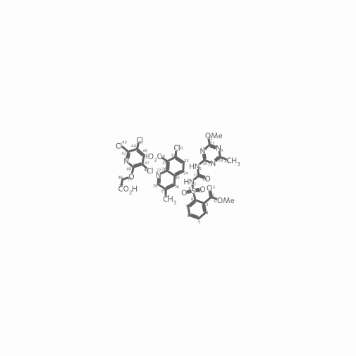 COC(=O)c1ccccc1S(=O)(=O)NC(=O)Nc1nc(C)nc(OC)n1.Cc1cnc2c(C(=O)O)c(Cl)ccc2c1.O=C(O)COc1nc(Cl)c(Cl)cc1Cl